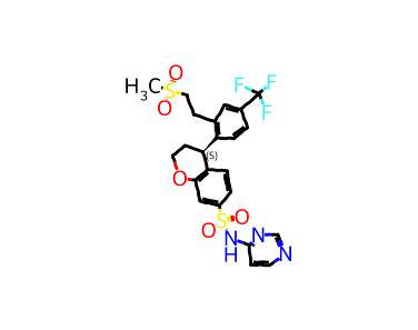 CS(=O)(=O)CCc1cc(C(F)(F)F)ccc1[C@@H]1CCOc2cc(S(=O)(=O)Nc3ccncn3)ccc21